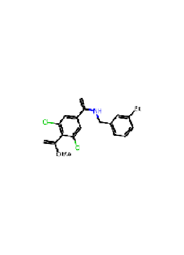 C=C(NCc1cccc(CC)c1)c1cc(Cl)c(C(=C)OC)c(Cl)c1